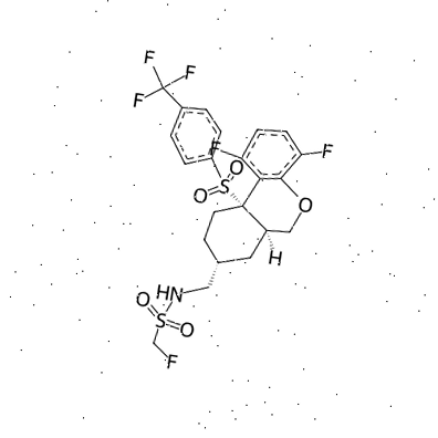 O=S(=O)(CF)NC[C@@H]1CC[C@@]2(S(=O)(=O)c3ccc(C(F)(F)F)cc3)c3c(F)ccc(F)c3OC[C@H]2C1